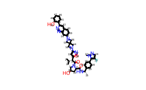 CC(C)[C@@H](C(=O)N1CC(O)CC1C(=O)N[C@@H](C)c1ccc(-c2c(F)cnn2C)cc1)c1cc(N2CC3(CN(c4ccc5cc(-c6ccccc6O)nnc5c4)C3)C2)no1